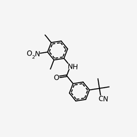 Cc1ccc(NC(=O)c2cccc(C(C)(C)C#N)c2)c(C)c1[N+](=O)[O-]